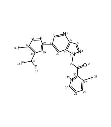 O=C(Cn1ncc2ncc(-c3ccc(F)c(C(F)F)c3)cc21)c1ncccc1F